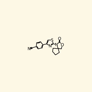 N#Cc1ccc(-c2csc(N3C(=O)OCC34CCCC4)n2)cc1